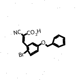 N#CC(=Cc1cc(OCc2ccccc2)ccc1Br)C(=O)O